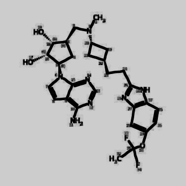 CN(C[C@H]1C[C@@H](n2ccc3c(N)ncnc32)[C@H](O)[C@@H]1O)[C@H]1C[C@H](CCc2nc3cc(OC(C)(F)F)ccc3[nH]2)C1